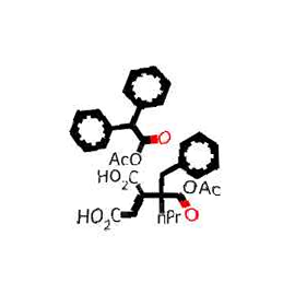 CCCC(Cc1ccccc1)(C(=O)OC(C)=O)/C(=C/C(=O)O)C(=O)O.[CH2]C(=O)OC(=O)C(c1ccccc1)c1ccccc1